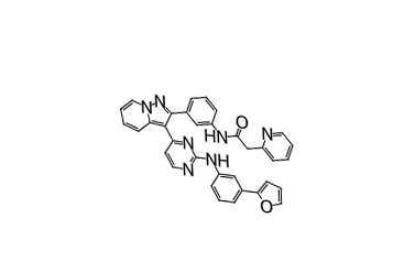 O=C(Cc1ccccn1)Nc1cccc(-c2nn3ccccc3c2-c2ccnc(Nc3cccc(-c4ccco4)c3)n2)c1